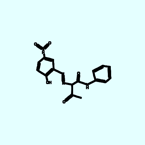 CC(=O)C(N=Nc1cc([SH](=O)=O)ccc1O)C(=O)Nc1ccccc1